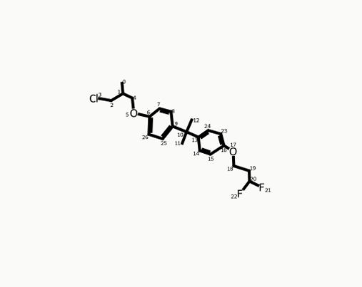 CC(CCl)COc1ccc(C(C)(C)c2ccc(OCCC(F)F)cc2)cc1